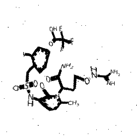 Cc1ccc(NS(=O)(=O)Cc2ccccc2I)c(=O)n1C(CCONC(=N)N)C(N)=O.O=C(O)C(F)(F)F